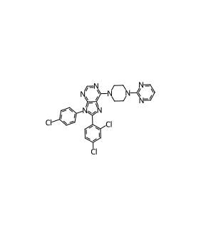 Clc1ccc(-n2c(-c3ccc(Cl)cc3Cl)nc3c(N4CCN(c5ncccn5)CC4)ncnc32)cc1